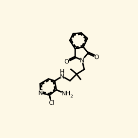 CC(C)(CNc1ccnc(Cl)c1N)CN1C(=O)c2ccccc2C1=O